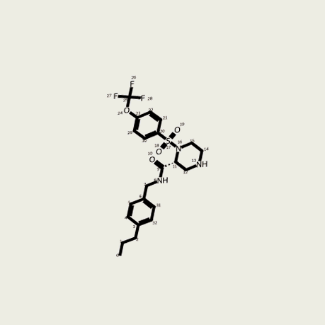 CCCc1ccc(CNC(=O)[C@H]2CNCCN2S(=O)(=O)c2ccc(OC(F)(F)F)cc2)cc1